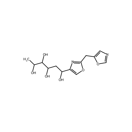 CC(O)C(O)C(O)CC(O)c1coc(Cc2cnco2)n1